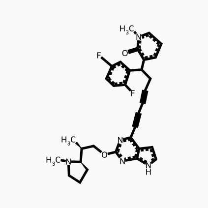 C[C@@H](COc1nc(C#CC#CCC(c2cc(F)ccc2F)c2cccn(C)c2=O)c2cc[nH]c2n1)[C@H]1CCCN1C